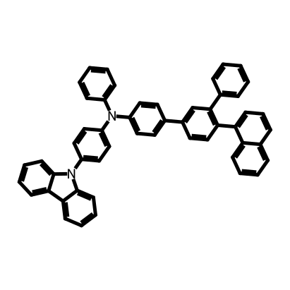 c1ccc(-c2cc(-c3ccc(N(c4ccccc4)c4ccc(-n5c6ccccc6c6ccccc65)cc4)cc3)ccc2-c2cccc3ccccc23)cc1